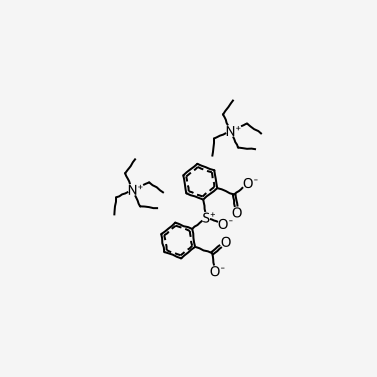 CC[N+](CC)(CC)CC.CC[N+](CC)(CC)CC.O=C([O-])c1ccccc1[S+]([O-])c1ccccc1C(=O)[O-]